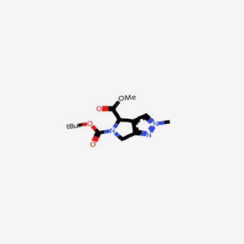 COC(=O)C1c2cn(C)nc2CN1C(=O)OC(C)(C)C